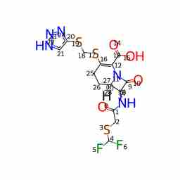 O=C(CSC(F)F)N[C@@H]1C(=O)N2C(C(=O)O)=C(SCSc3c[nH]nn3)CC[C@H]12